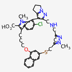 Cn1nc2cc1CSc1cc(c3ccccc3c1)OCCCc1c(C(=O)O)n(C)c3c(c(Cl)ccc13)-c1c(nn3c1CCC3)CNC2